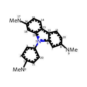 CNc1ccc(-n2c3cc(NC)ccc3c3ccc(NC)cc32)cc1